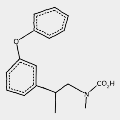 CC(CN(C)C(=O)O)c1cccc(Oc2ccccc2)c1